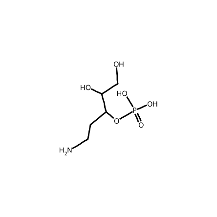 NCCC(OP(=O)(O)O)C(O)CO